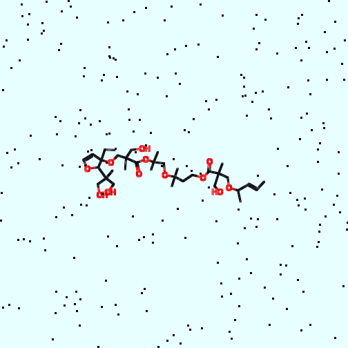 CC=CC(C)OCC(C)(CO)C(=O)OCCC(C)(C)OCC(C)(C)OC(=O)C(C)(CO)COC1(CC)C=COC1C(C)(CO)CO